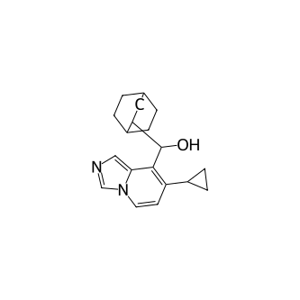 OC(c1c(C2CC2)ccn2cncc12)C1CC2CCC1CC2